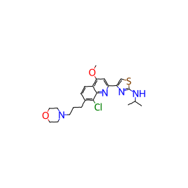 COc1cc(-c2csc(NC(C)C)n2)nc2c(Cl)c(CCCN3CCOCC3)ccc12